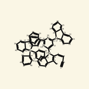 C#C/C=C\c1c(C)c2ccccc2n1-c1cc(-n2c3ccccc3c3ccccc32)nc(-c2cccc(-c3ccccc3S(c3ccccc3)(c3ccccc3)c3ccccc3)c2)n1